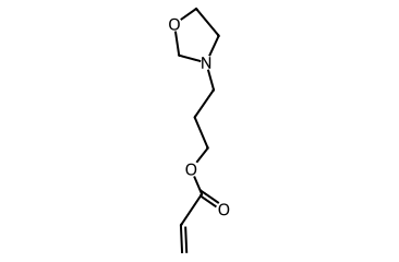 C=CC(=O)OCCCN1CCOC1